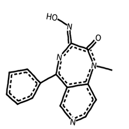 Cn1c(=O)/c(=N/O)nc(-c2ccccc2)c2cnccc21